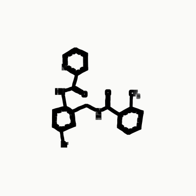 O=C(Nc1ccc(Br)cc1CNC(=O)c1ccccc1C(F)(F)F)c1ccccn1